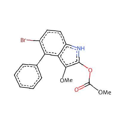 COC(=O)Oc1[nH]c2ccc(Br)c(-c3ccccc3)c2c1OC